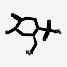 CCN1C[C@@H](CN)N(S(C)(=O)=O)CCC1=O